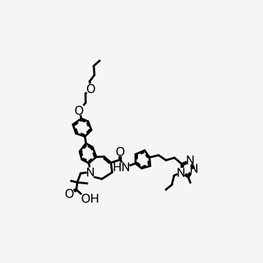 CCCCOCCOc1ccc(-c2ccc3c(c2)/C=C(/C(=O)Nc2ccc(CCCc4nnc(C)n4CCC)cc2)CCCN3CC(C)(C)C(=O)O)cc1